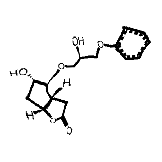 O=C1C[C@H]2[C@H](OC[C@@H](O)COc3ccccc3)[C@@H](O)C[C@H]2O1